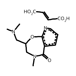 CN(C)CC1CN(C)C(=O)c2cccnc2O1.O=C(O)C=CC(=O)O